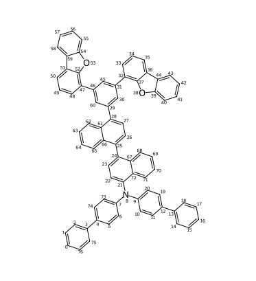 c1ccc(-c2ccc(N(c3ccc(-c4ccccc4)cc3)c3ccc(-c4ccc(-c5cc(-c6cccc7c6oc6ccccc67)cc(-c6cccc7c6oc6ccccc67)c5)c5ccccc45)c4ccccc34)cc2)cc1